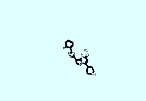 Cl.O=c1cc(C2CCNCC2)n2ncc(-c3nnc(-c4ccccc4F)o3)c2[nH]1